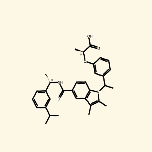 Cc1c(C)n(C(C)c2cccc(O[C@@H](C)C(=O)O)c2)c2ccc(C(=O)N[C@@H](C)c3cccc(C(C)C)c3)cc12